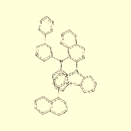 c1ccc(-c2cccc(N(c3ccc(-c4cccc5ccccc45)cc3)c3c(-n4c5ccccc5c5ccccc54)ccc4ccccc34)c2)cc1